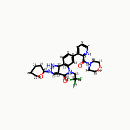 O=C(c1ncccc1-c1ccc2c(c1)N(CC(F)(F)F)C(=O)C1=CN(C3CCCCO3)NC12)N1CCOCC1